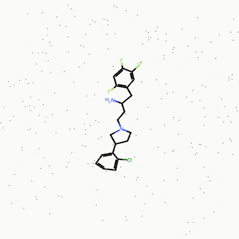 NC(CCN1CCC(c2ccccc2Cl)C1)Cc1cc(F)c(F)cc1F